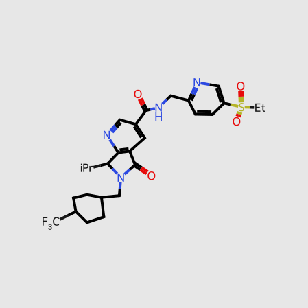 CCS(=O)(=O)c1ccc(CNC(=O)c2cnc3c(c2)C(=O)N(CC2CCC(C(F)(F)F)CC2)C3C(C)C)nc1